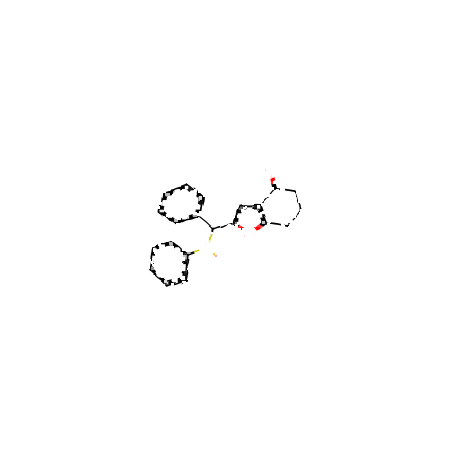 O=C1CCCc2oc(C(c3ccccc3)[S+]([O-])c3ccccc3)cc21